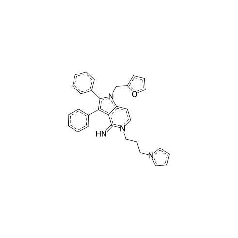 N=c1c2c(-c3ccccc3)c(-c3ccccc3)n(Cc3ccco3)c2ccn1CCCn1cccc1